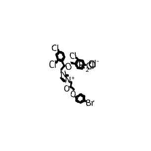 O.O=C(COc1ccc(Br)cc1)C[n+]1ccn(CC(OCc2ccc(Cl)cc2Cl)c2ccc(Cl)cc2Cl)c1.[Cl-]